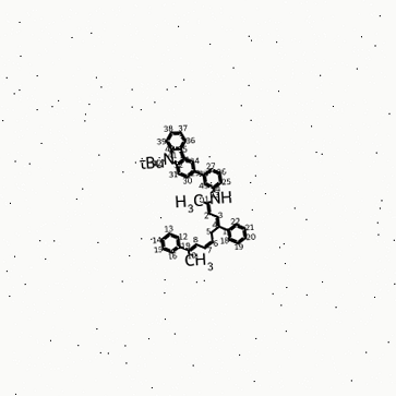 C/C(=C/C=C(\C/C=C\C=C(/C)c1ccccc1)c1ccccc1)Nc1cccc(-c2ccc3c(c2)c2ccccc2n3C(C)(C)C)c1